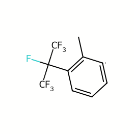 Cc1[c]cccc1C(F)(C(F)(F)F)C(F)(F)F